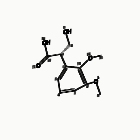 COc1cccc([C@@H](CO)C(=O)O)c1OC